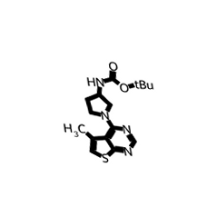 Cc1csc2ncnc(N3CCC(NC(=O)OC(C)(C)C)C3)c12